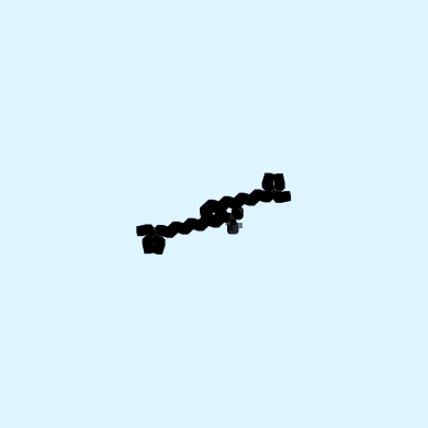 CC[N+](CC)(CC)CCCCCCc1ccc(CCCCCC[N+](CC)(CC)CC)c([N+](=O)[O-])c1